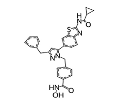 O=C(NO)c1ccc(Cn2nc(Cc3ccccc3)cc2-c2ccc3nc(NC(=O)C4CC4)sc3c2)cc1